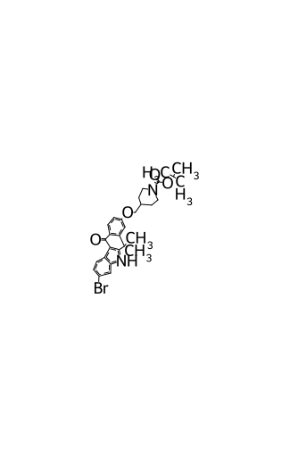 CC(C)(C)OC(=O)N1CCC(COc2ccc3c(c2)C(C)(C)c2[nH]c4cc(Br)ccc4c2C3=O)CC1